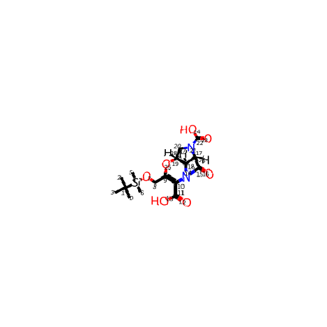 CC(C)(C)[Si](C)(C)OCC1=C(C(=O)O)N2C(=O)[C@@H]3[C@H]2[C@@H](CN3C(=O)O)O1